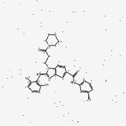 O=C(Nc1cc(Cl)ccn1)c1ccc2c(c1)nc(Nc1c(Cl)cccc1Cl)n2CCC(=O)N1CCOCC1